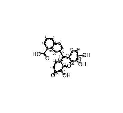 O=C(O)c1cccc2ccc(-c3c4ccc(=O)c(O)c-4oc4c(O)c(O)ccc34)cc12